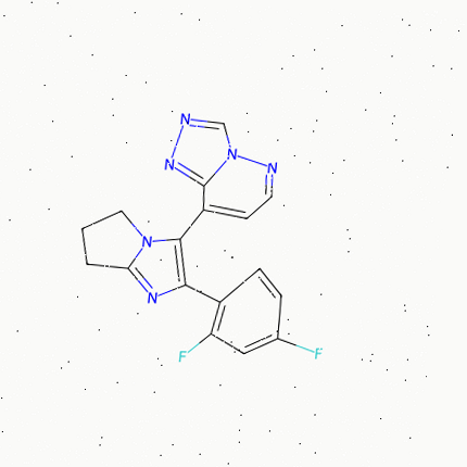 Fc1ccc(-c2nc3n(c2-c2ccnn4cnnc24)CCC3)c(F)c1